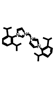 CC(C)c1cccc(C(C)C)c1-n1cc[n+](C[n+]2ccn(-c3c(C(C)C)cccc3C(C)C)c2)c1